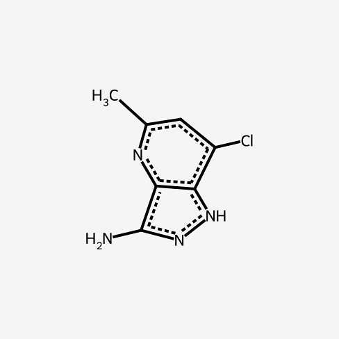 Cc1cc(Cl)c2[nH]nc(N)c2n1